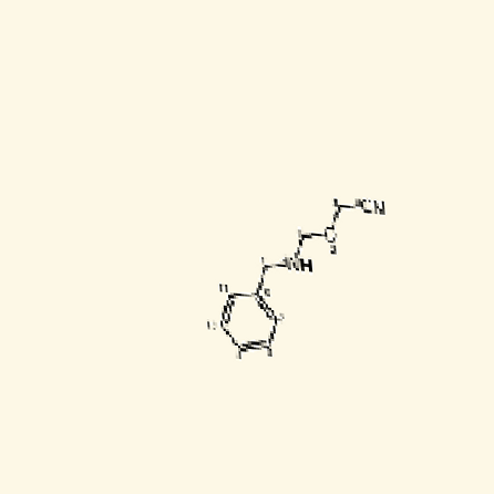 N#CCOCNCc1ccccc1